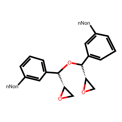 CCCCCCCCCc1cccc(C(OC(c2cccc(CCCCCCCCC)c2)[C@@H]2CO2)[C@@H]2CO2)c1